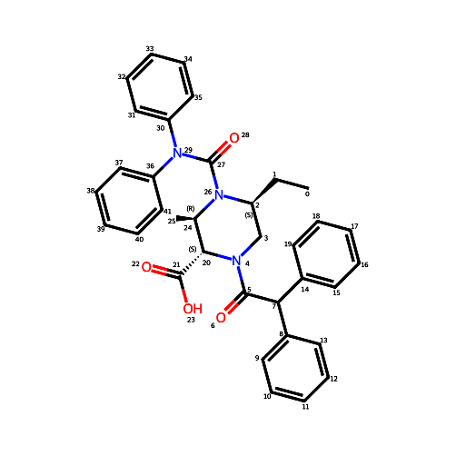 CC[C@H]1CN(C(=O)C(c2ccccc2)c2ccccc2)[C@H](C(=O)O)[C@@H](C)N1C(=O)N(c1ccccc1)c1ccccc1